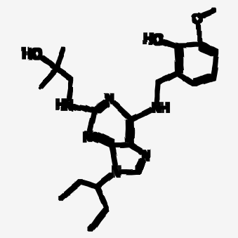 CCC(CC)n1cnc2c(NCc3cccc(OC)c3O)nc(NCC(C)(C)O)nc21